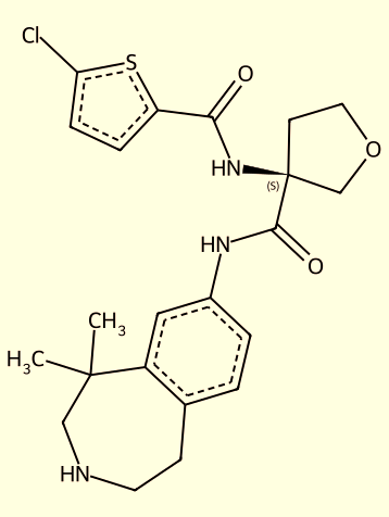 CC1(C)CNCCc2ccc(NC(=O)[C@]3(NC(=O)c4ccc(Cl)s4)CCOC3)cc21